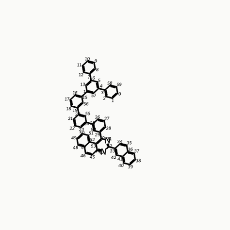 c1ccc(-c2cc(-c3ccccc3)cc(-c3cccc(-c4cccc(-c5cccc(-c6nc(-c7ccc8ccccc8c7)nc7ccc8ccccc8c67)c5)c4)c3)c2)cc1